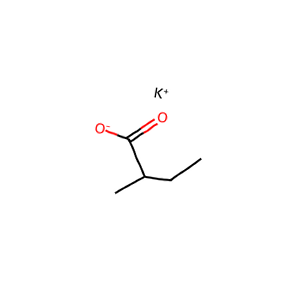 CCC(C)C(=O)[O-].[K+]